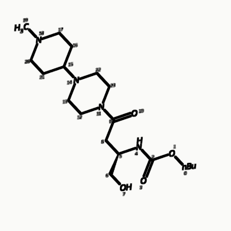 CCCCOC(=O)N[C@@H](CO)CC(=O)N1CCN(C2CCN(C)CC2)CC1